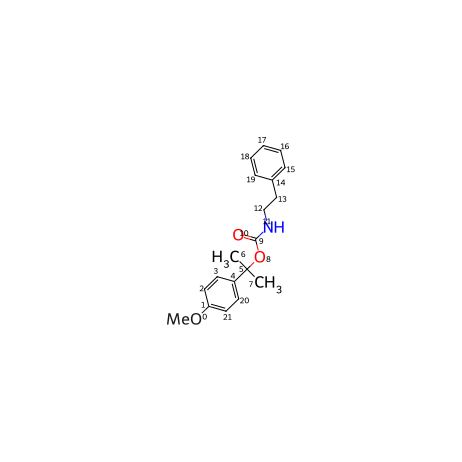 COc1ccc(C(C)(C)OC(=O)NCCc2ccccc2)cc1